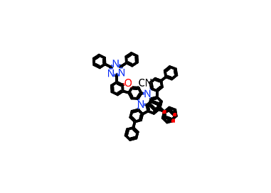 N#Cc1c(-n2c3ccc(-c4ccccc4)cc3c3cc(-c4ccccc4)ccc32)c(-n2c3ccc(-c4ccccc4)cc3c3cc(-c4ccccc4)ccc32)cc2c1oc1c(-c3nc(-c4ccccc4)nc(-c4ccccc4)n3)cccc12